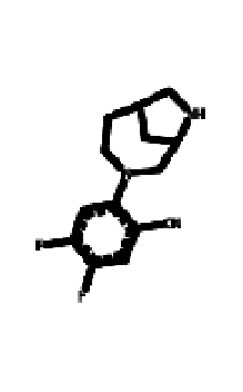 N#Cc1cc(F)c(F)cc1N1CCC2CNC(C2)C1